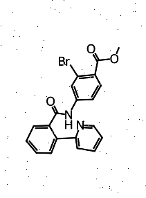 COC(=O)c1ccc(NC(=O)c2ccccc2-c2ccccn2)cc1Br